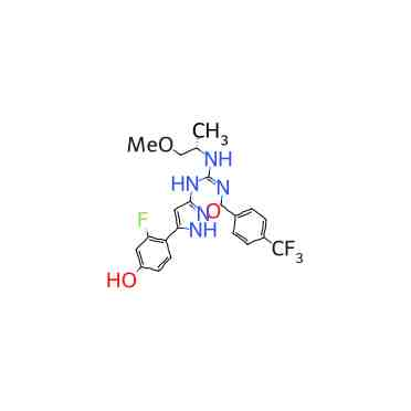 COC[C@H](C)N/C(=N/C(=O)c1ccc(C(F)(F)F)cc1)Nc1cc(-c2ccc(O)cc2F)[nH]n1